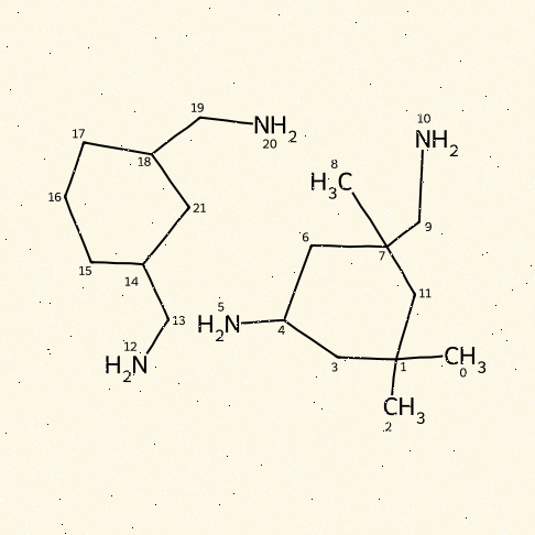 CC1(C)CC(N)CC(C)(CN)C1.NCC1CCCC(CN)C1